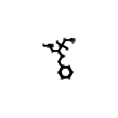 CNCC(OCc1ccccc1)C(C)(C)CO